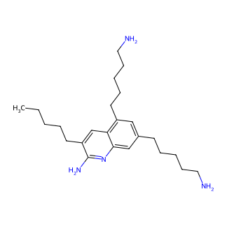 CCCCCc1cc2c(CCCCCN)cc(CCCCCN)cc2nc1N